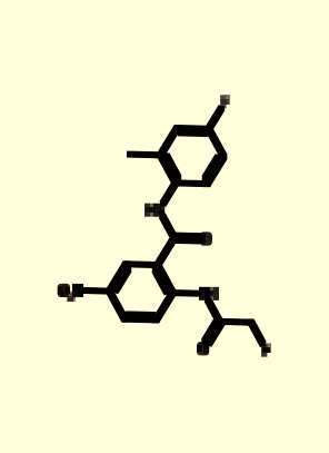 Cc1cc(F)ccc1NC(=O)c1cc([N+](=O)[O-])ccc1NC(=O)CF